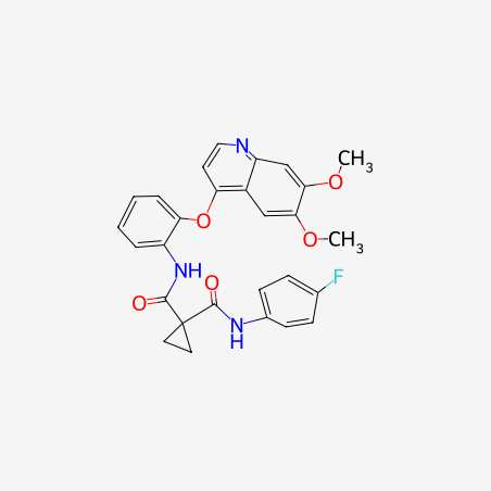 COc1cc2nccc(Oc3ccccc3NC(=O)C3(C(=O)Nc4ccc(F)cc4)CC3)c2cc1OC